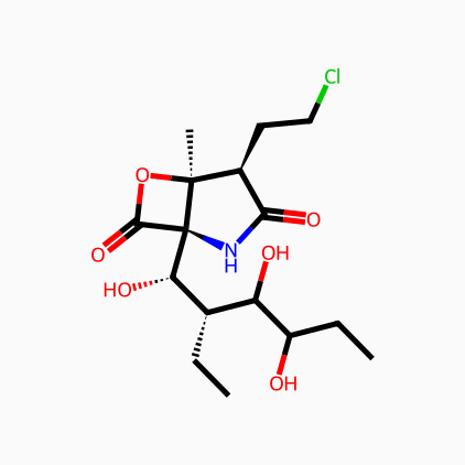 CCC(O)C(O)[C@H](CC)[C@H](O)[C@@]12NC(=O)[C@H](CCCl)[C@]1(C)OC2=O